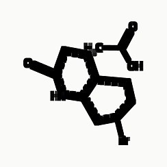 CC(=O)O.O=c1ccc2ccc(Br)cc2[nH]1